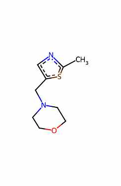 Cc1ncc(CN2CCOCC2)s1